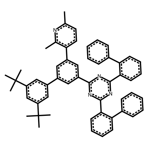 Cc1ccc(-c2cc(-c3cc(C(C)(C)C)cc(C(C)(C)C)c3)cc(-c3nc(-c4ccccc4-c4ccccc4)nc(-c4ccccc4-c4ccccc4)n3)c2)c(C)n1